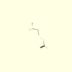 CC(=O)NOC[C@H](C)O